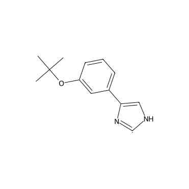 CC(C)(C)Oc1cccc(-c2c[nH][c]n2)c1